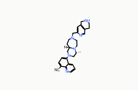 C[C@@H]1CN(c2ccc(C#N)c3ncccc23)C[C@@H]2CCN(Cc3cc4c(cn3)CCNC4)CCN21